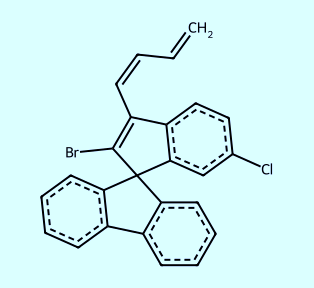 C=C/C=C\C1=C(Br)C2(c3cc(Cl)ccc31)c1ccccc1-c1ccccc12